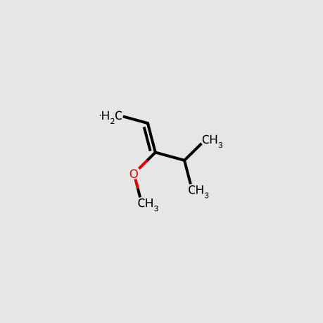 [CH2]C=C(OC)C(C)C